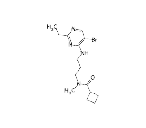 CCc1ncc(Br)c(NCCCN(C)C(=O)C2CCC2)n1